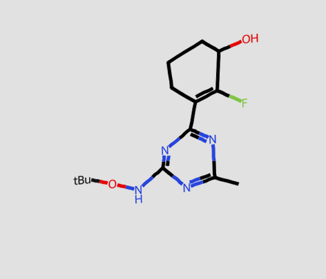 Cc1nc(NOC(C)(C)C)nc(C2=C(F)C(O)CCC2)n1